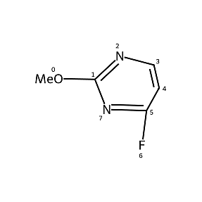 COc1nccc(F)n1